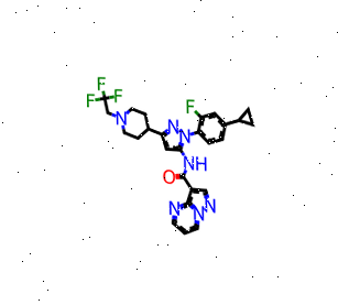 O=C(Nc1cc(C2CCN(CC(F)(F)F)CC2)nn1-c1ccc(C2CC2)cc1F)c1cnn2cccnc12